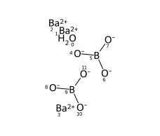 O.[Ba+2].[Ba+2].[Ba+2].[O-]B([O-])[O-].[O-]B([O-])[O-]